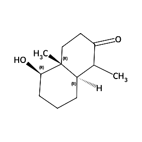 CC1C(=O)CC[C@@]2(C)[C@H](O)CCC[C@H]12